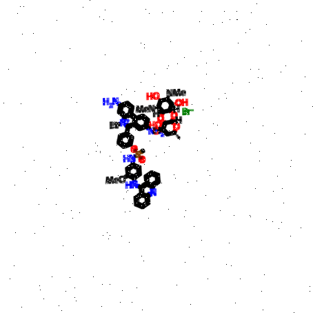 CC[n+]1c(-c2ccccc2)c2cc(N)ccc2c2ccc(N)cc21.CN[C@@H]1[C@H](O)[C@H](NC)[C@H]2O[C@@]3(O)C(=O)C[C@@H](C)O[C@H]3O[C@@H]2[C@H]1O.COc1cc(NS(C)(=O)=O)ccc1Nc1c2ccccc2nc2ccccc12.[Br-]